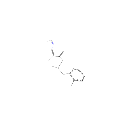 C=C(CC(C)Cc1ccccc1C)/C(C)=C(C)\N=C/C